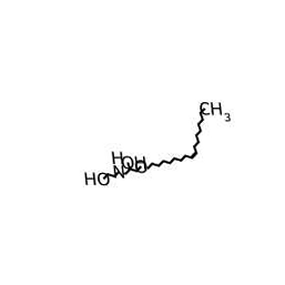 CCCCCCCC/C=C\CCCCCCCCOCC(O)CNCCO